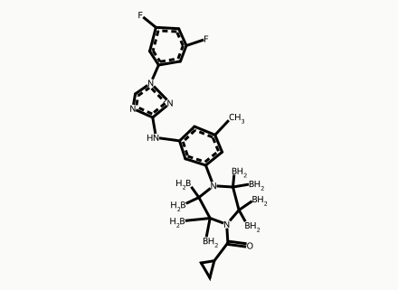 BC1(B)N(C(=O)C2CC2)C(B)(B)C(B)(B)N(c2cc(C)cc(Nc3ncn(-c4cc(F)cc(F)c4)n3)c2)C1(B)B